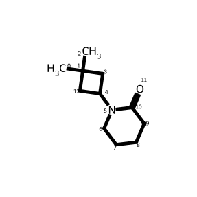 CC1(C)CC(N2CCCCC2=O)C1